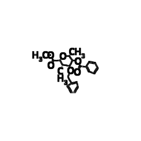 COC(=O)C1O[C@H](C)C(OC(=O)c2ccccc2)[C@@H](OCc2ccccc2)[C@@H]1C